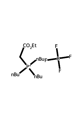 CCCC[P+](CCCC)(CCCC)CC(=O)OCC.F[B-](F)(F)F